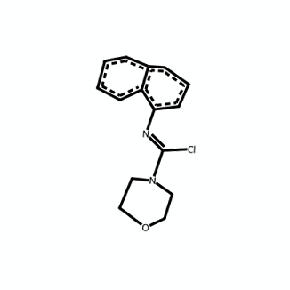 ClC(=Nc1cccc2ccccc12)N1CCOCC1